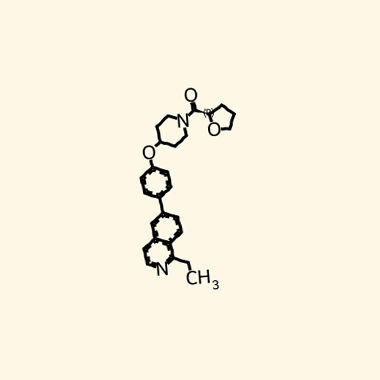 CCc1nccc2cc(-c3ccc(OC4CCN(C(=O)[C@H]5CCCO5)CC4)cc3)ccc12